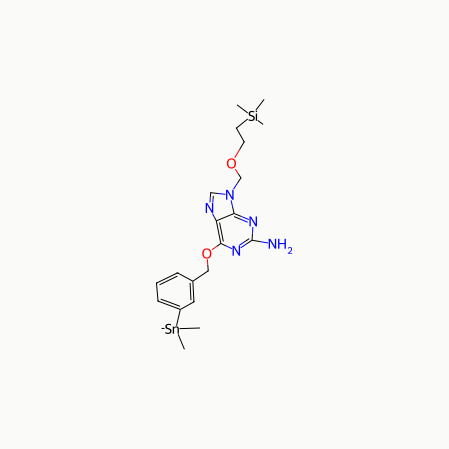 C[Si](C)(C)CCOCn1cnc2c(OCc3ccc[c]([Sn]([CH3])([CH3])[CH3])c3)nc(N)nc21